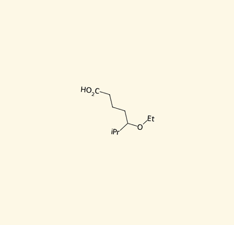 CCOC(CCCC(=O)O)C(C)C